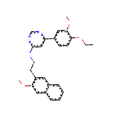 CCOc1cc2ccccc2cc1CCNc1cc(-c2ccc(OCC(=O)O)c(OCC)c2)ncn1